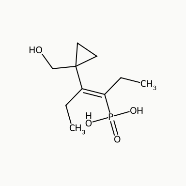 CCC(=C(CC)P(=O)(O)O)C1(CO)CC1